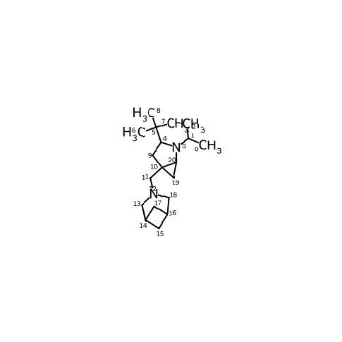 CC(C)N1C(C(C)(C)C)CC2(CN3CC4CC(C4)C3)CC12